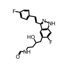 O=CNCCC(O)Cc1cc2c(/C=C/c3ccc(F)cc3)n[nH]c2cc1F